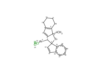 CC(C)C[C]1([Ti][C]2(C)C=CC3=C2CCCC3)C=Cc2ccccc21.Cl.Cl